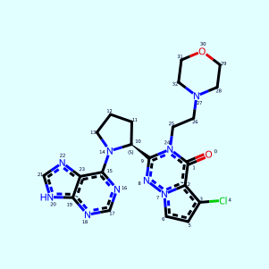 O=c1c2c(Cl)ccn2nc([C@@H]2CCCN2c2ncnc3[nH]cnc23)n1CCN1CCOCC1